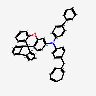 C1=CCC=C(Cc2ccc(N(c3ccc(-c4ccccc4)cc3)c3ccc4c(c3)Oc3ccccc3C43c4ccccc4-c4ccccc43)cc2)C=C1